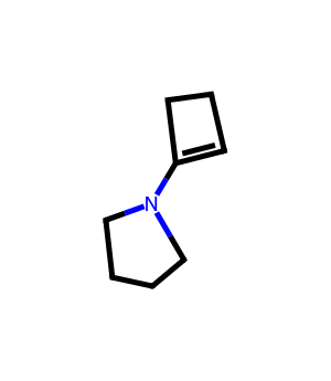 C1=C(N2CCCC2)CC1